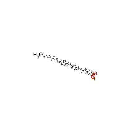 CCCCCCCCCCCCCCCCCCCCCCCCCCCCCC[SH](=O)=O